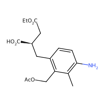 CCOC(=O)C[C@@H](Cc1ccc(N)c(C)c1COC(C)=O)C(=O)O